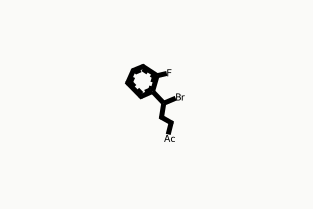 CC(=O)CCC(Br)c1ccccc1F